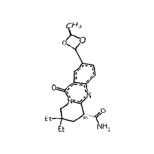 CCC1(CC)C[C@@H](C(N)=O)c2nc3ccc(C4OC(C)O4)cc3c(=O)n2C1